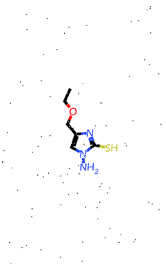 CCOCc1cn(N)c(S)n1